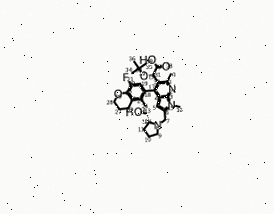 Cc1nc2c(cc(CN3CCC[C@@H]3CO)n2C)c(-c2cc(F)c3c(c2C)CCCO3)c1[C@H](OC(C)(C)C)C(=O)O